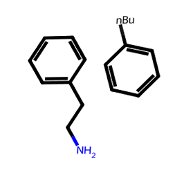 CCCCc1ccccc1.NCCc1ccccc1